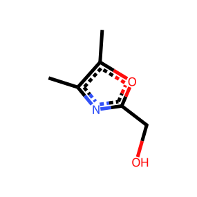 Cc1nc(CO)oc1C